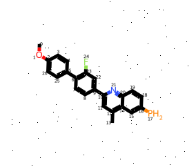 COc1ccc(-c2ccc(-c3cc(C)c4cc(P)ccc4n3)cc2F)cc1